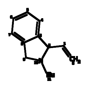 C=CC1c2ccccc2CN1C(C)CC